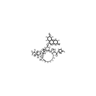 Cn1ccc(C(=O)N[C@H]2CCCCC/C=C\[C@@H]3C[C@@]3(C(=O)NS(=O)(=O)C3(C)CC3)NC(=O)[C@@H]3C[C@@H](Oc4nc5cc(F)ccc5c5cc(F)ccc45)CN3C2=O)n1